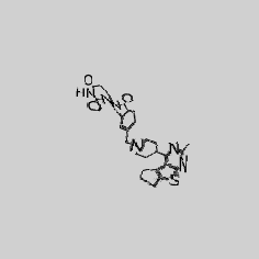 Cc1nc(C2CCN(Cc3ccc4c(c3)CN(N3CCC(=O)NC3=O)C4=O)CC2)c2c3c(sc2n1)CCC3